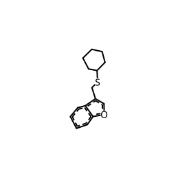 c1ccc2c(CSC3CCCCC3)coc2c1